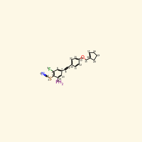 N#CSc1c(F)cc(C#Cc2ccc(OCC3=CCCC3)cc2)cc1P